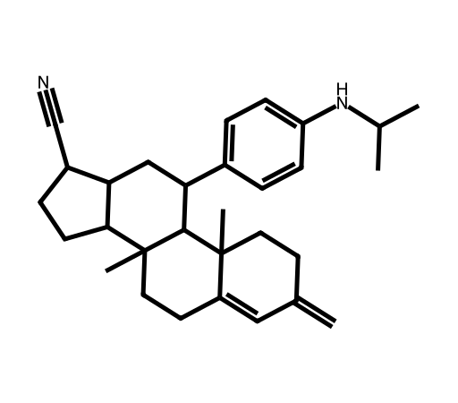 C=C1C=C2CCC3(C)C4CCC(C#N)C4CC(c4ccc(NC(C)C)cc4)C3C2(C)CC1